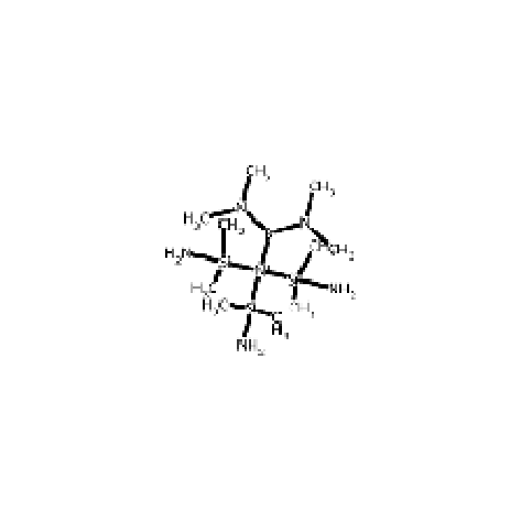 CN(C)B(N(C)C)[N+]([Si](C)(C)N)([Si](C)(C)N)[Si](C)(C)N